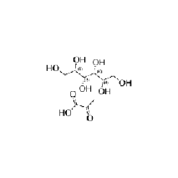 CC(=O)C(=O)O.OC[C@@H](O)[C@@H](O)[C@H](O)[C@H](O)CO